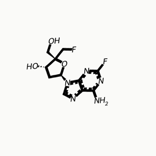 Nc1nc(F)nc2c1ncn2[C@H]1C[C@H](O)[C@](CO)(CF)O1